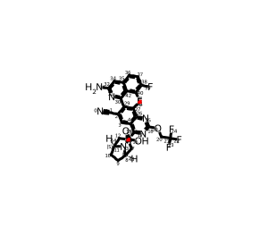 N#Cc1cc2c(N3C[C@H]4CC[C@@H](C3)N4C(=O)O)nc(OCC(F)(F)F)nc2c(F)c1-c1nc(N)cc2ccc(F)c(F)c12